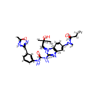 Cc1nc(-c2cccc(NC(=O)Nc3nc4cc(N(C)C(=O)CC(C)C)ccc4n3CC(C)(C)O)c2)no1